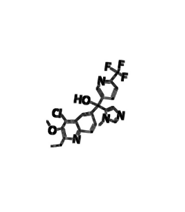 CCc1nc2ccc(C(O)(c3ccc(C(F)(F)F)nc3)c3cncn3C)cc2c(Cl)c1OC